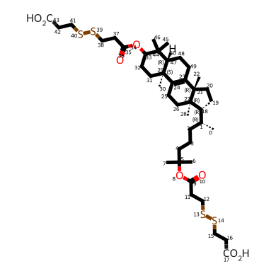 C[C@H](CCCC(C)(C)OC(=O)CCSSCCC(=O)O)[C@H]1CC[C@@]2(C)C3=C(CC[C@]12C)[C@@]1(C)CCC(OC(=O)CCSSCCC(=O)O)C(C)(C)[C@@H]1CC3